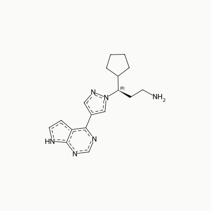 NCC[C@H](C1CCCC1)n1cc(-c2ncnc3[nH]ccc23)cn1